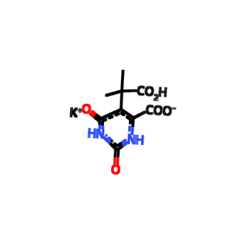 CC(C)(C(=O)O)c1c(C(=O)[O-])[nH]c(=O)[nH]c1=O.[K+]